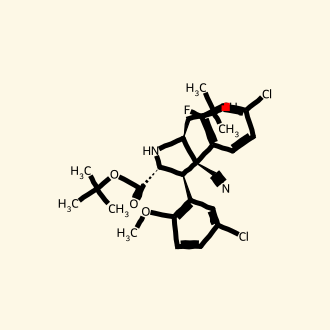 COc1ccc(Cl)cc1[C@H]1[C@H](C(=O)OC(C)(C)C)N[C@@H](CC(C)(C)C)[C@]1(C#N)c1ccc(Cl)cc1F